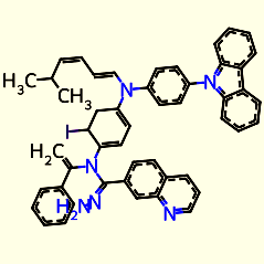 C=C(c1ccccc1)N(C1=CC=C(N(/C=C/C=C\C(C)C)c2ccc(-n3c4ccccc4c4ccccc43)cc2)CC1I)/C(=N\N)c1ccc2cccnc2c1